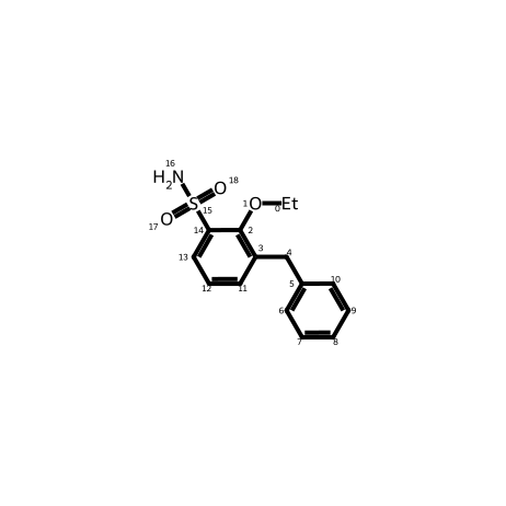 CCOc1c(Cc2ccccc2)cccc1S(N)(=O)=O